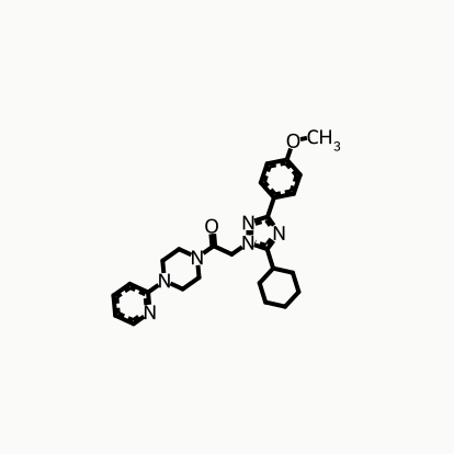 COc1ccc(-c2nc(C3CCCCC3)n(CC(=O)N3CCN(c4ccccn4)CC3)n2)cc1